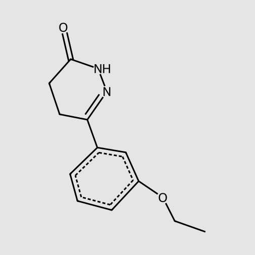 CCOc1cccc(C2=NNC(=O)CC2)c1